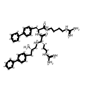 N=C(N)NCCCCNC(=O)[C@H](Cc1ccc(-c2ccccc2)cc1)NC(=O)[C@H](CCCNC(=N)N)NC[C@@H](N)Cc1ccc(-c2ccccc2)cc1